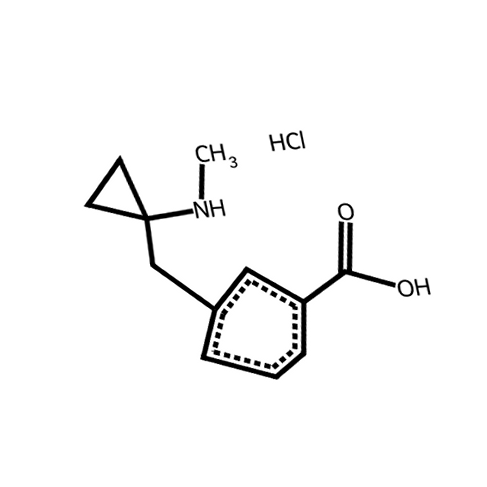 CNC1(Cc2cccc(C(=O)O)c2)CC1.Cl